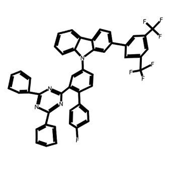 Fc1ccc(-c2ccc(-n3c4ccccc4c4ccc(-c5cc(C(F)(F)F)cc(C(F)(F)F)c5)cc43)cc2-c2nc(-c3ccccc3)nc(-c3ccccc3)n2)cc1